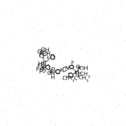 Cc1c(C(=O)O)c(-c2cc(F)cc(N3CCN(c4ccc(NS(=O)(=O)c5ccc(N[C@H](CCOP(=O)(O)O)CSc6ccccc6)c(S(=O)(=O)C(F)(F)F)c5)cc4)CC3)c2)c(-c2ccc(Cl)cc2)n1C(C)C